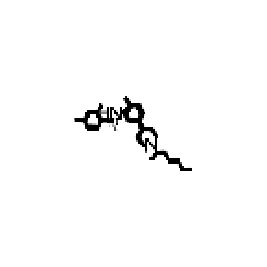 CCCCCC(C)N1CCC(c2ccc(C)c(N[C@H](C)c3ccc(C)cc3C)c2)CC1